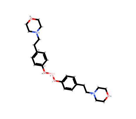 B(Oc1ccc(CCN2CCOCC2)cc1)Oc1ccc(CCN2CCOCC2)cc1